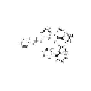 Fc1c(-c2cncc(CNCc3ccccc3)c2)ccc2[nH]nc(-c3nc4c(-c5cccnc5)ccnc4[nH]3)c12